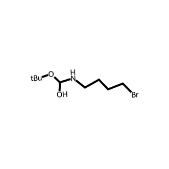 CC(C)(C)OC(O)NCCCCBr